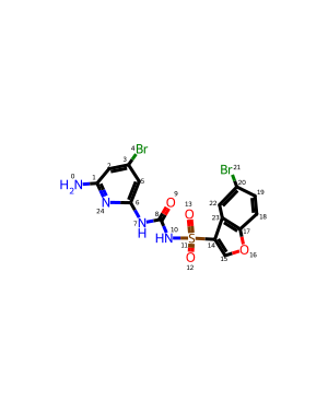 Nc1cc(Br)cc(NC(=O)NS(=O)(=O)c2coc3ccc(Br)cc23)n1